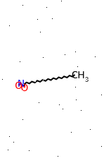 CCCCCCCCCCCCCCCCCCCC(=O)N=O